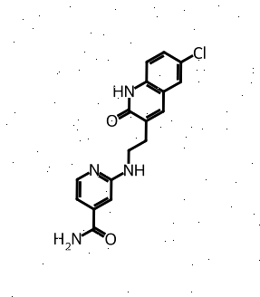 NC(=O)c1ccnc(NCCc2cc3cc(Cl)ccc3[nH]c2=O)c1